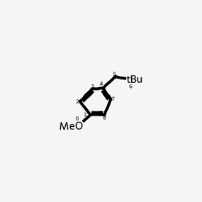 COc1ccc([CH]C(C)(C)C)cc1